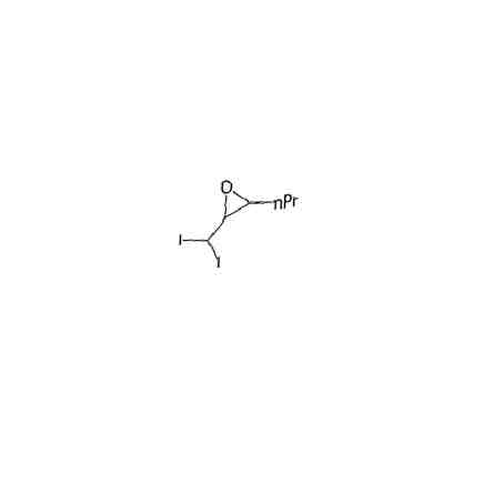 CCCC1OC1C(I)I